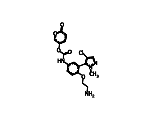 Cn1ncc(Cl)c1-c1cc(NC(=O)Oc2ccc(=O)oc2)ccc1OCCN